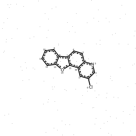 Clc1cnc2ccc3c4ccccc4oc3c2c1